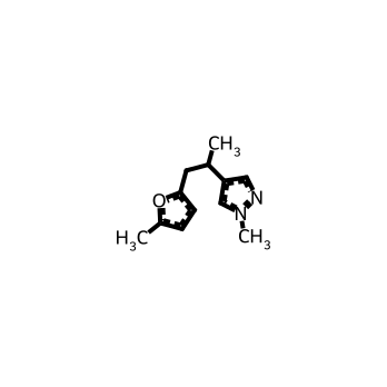 Cc1ccc(CC(C)c2cnn(C)c2)o1